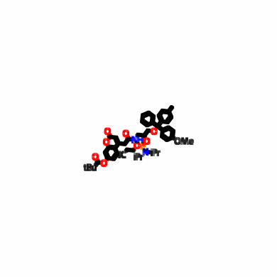 COc1ccc(C(OCC(CNC(=O)Cc2cc(=O)oc3cc(OC(=O)C(C)(C)C)ccc23)OP(OCCC#N)N(C(C)C)C(C)C)(c2ccccc2)c2ccc(C)cc2)cc1